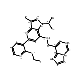 CCOc1ncccc1-c1cc(NCc2cncn3ccnc23)c2c(n1)c(C)nn2C(C)C